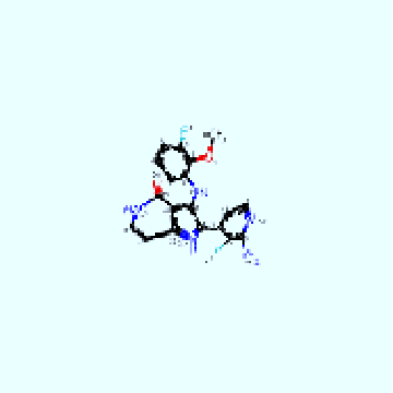 COc1c(F)cccc1Nc1c(-c2ccnc(N)c2F)[nH]c2c1C(=O)NCC2